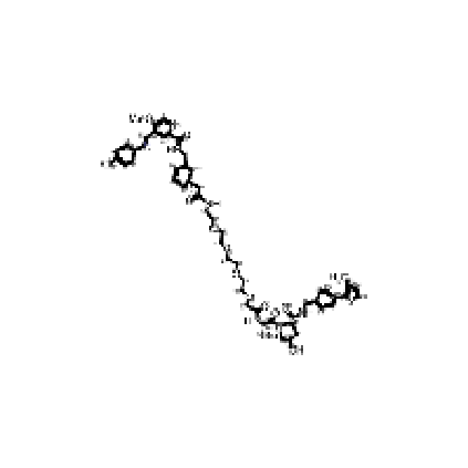 COc1cnc(C(=O)NCc2cccc(CC(=O)NCCOCCOCCOCCOCC(=O)N[C@H](C(=O)N3C[C@H](O)C[C@H]3C(=O)NCc3ccc(-c4sccc4C)cc3)C(C)(C)C)c2)cc1/C=C/c1ccc(Cl)cc1